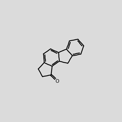 O=C1CCc2ccc3c(c21)Cc1ccccc1-3